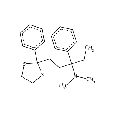 CCC(CCC1(c2ccccc2)SCCS1)(c1ccccc1)N(C)C